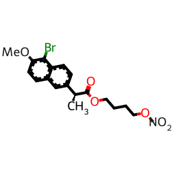 COc1ccc2cc([C@H](C)C(=O)OCCCCO[N+](=O)[O-])ccc2c1Br